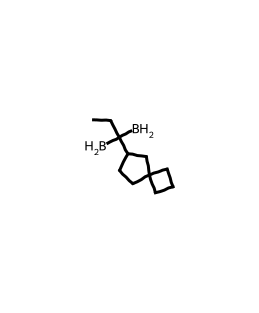 BC(B)(CC)C1CCC2(CCC2)C1